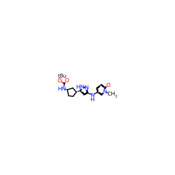 Cn1cc(Nc2cc([C@H]3CC[C@@H](NC(=O)OC(C)(C)C)C3)[nH]n2)ccc1=O